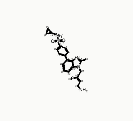 Cc1nc2c(-c3ccc(S(=O)(=O)NC4CC4)cc3)cccc2n1C/C(F)=C/CN